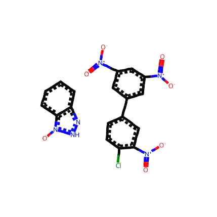 O=[N+]([O-])c1cc(-c2ccc(Cl)c([N+](=O)[O-])c2)cc([N+](=O)[O-])c1.[O-][n+]1[nH]nc2ccccc21